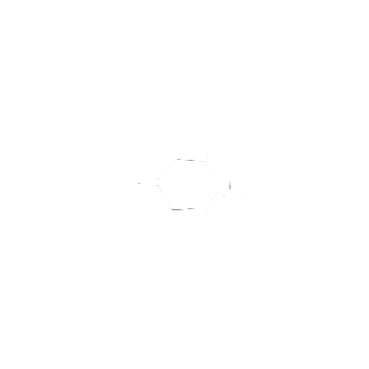 CC[SiH]1CC[SiH2]CC1